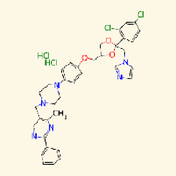 Cc1nc(-c2ccccc2)ncc1CN1CCN(c2ccc(OCC3COC(Cn4ccnc4)(c4ccc(Cl)cc4Cl)O3)cc2)CC1.Cl.Cl